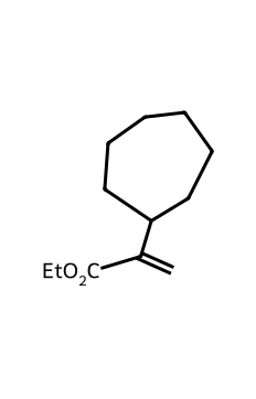 C=C(C(=O)OCC)C1CCCCCC1